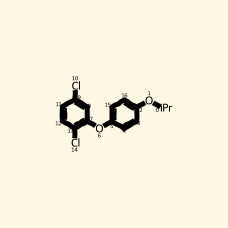 CC(C)Oc1ccc(Oc2cc(Cl)ccc2Cl)cc1